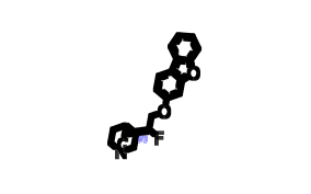 F/C(COc1ccc2c(c1)oc1ccccc12)=C1\CN2CCC1CC2